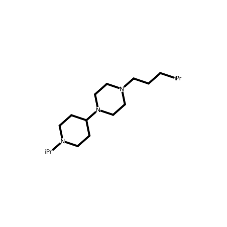 CC(C)CCCN1CCN(C2CCN(C(C)C)CC2)CC1